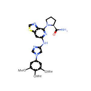 COc1cc(-n2cnc(Nc3cc4scnc4c(N4CCC[C@H]4C(N)=O)n3)c2)cc(OC)c1OC